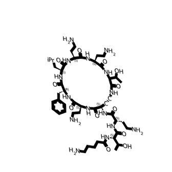 CC(C)C[C@@H]1NC(=O)[C@@H](Cc2ccccc2)NC(=O)[C@H](CCN)NC(=O)[C@@H](NC(=O)[C@H](CCN)NC(=O)[C@@H](NC(=O)CCCCN)C(C)O)CCNC(=O)C(C(C)O)NC(=O)[C@H](CCN)NC(=O)[C@H](CCN)NC1=O